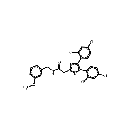 COc1cccc(CNC(=O)Cn2nc(-c3ccc(Cl)cc3Cl)c(-c3ccc(Cl)cc3Cl)n2)c1